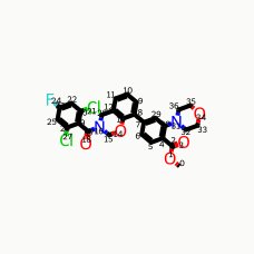 COC(=O)c1ccc(-c2cccc3c2OCN(C(=O)c2c(Cl)cc(F)cc2Cl)C3)cc1N1CCOCC1